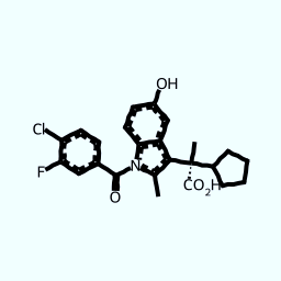 Cc1c([C@](C)(C(=O)O)C2CCCC2)c2cc(O)ccc2n1C(=O)c1ccc(Cl)c(F)c1